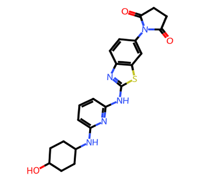 O=C1CCC(=O)N1c1ccc2nc(Nc3cccc(NC4CCC(O)CC4)n3)sc2c1